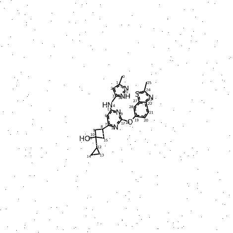 Cc1cc(Nc2cc(C3CC(O)(C4CC4)C3)nc(Oc3ccc4nc(C)sc4c3)n2)[nH]n1